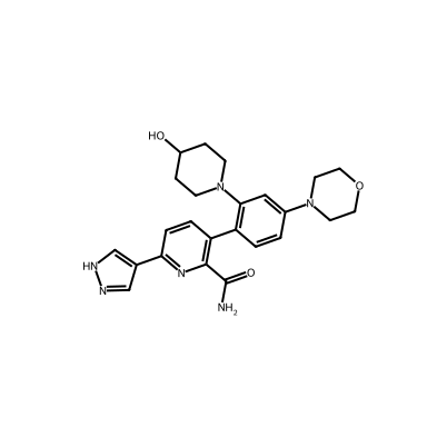 NC(=O)c1nc(-c2cn[nH]c2)ccc1-c1ccc(N2CCOCC2)cc1N1CCC(O)CC1